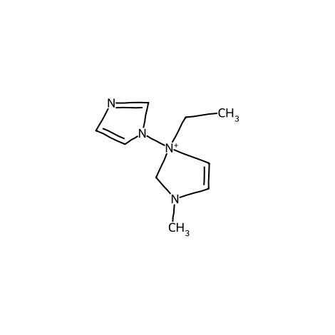 CC[N+]1(n2ccnc2)C=CN(C)C1